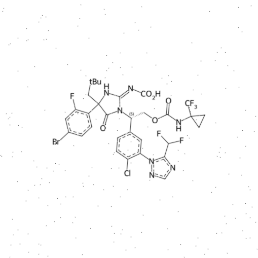 CC(C)(C)CC1(c2ccc(Br)cc2F)NC(=NC(=O)O)N([C@H](COC(=O)NC2(C(F)(F)F)CC2)c2ccc(Cl)c(-n3ncnc3C(F)F)c2)C1=O